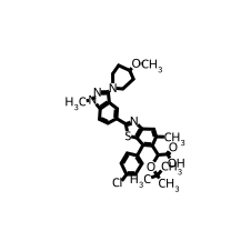 COC1CCN(c2nn(C)c3ccc(-c4nc5cc(C)c(C(OC(C)(C)C)C(=O)O)c(-c6ccc(Cl)cc6)c5s4)cc23)CC1